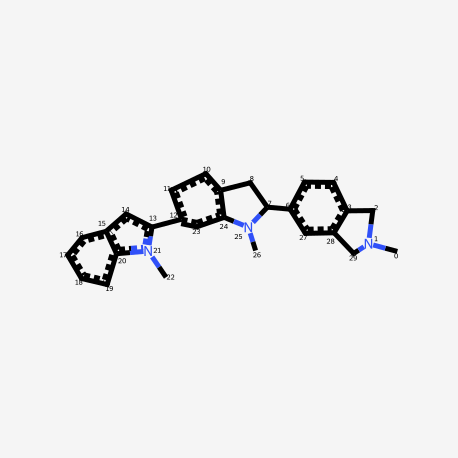 CN1Cc2ccc(C3Cc4ccc(-c5cc6ccccc6n5C)cc4N3C)cc2C1